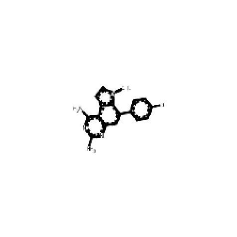 Cn1ccc2c3c(N)nc(N)nc3cc(-c3ccc(Cl)cc3)c21